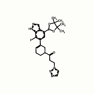 CC1(C)OB(c2cc(C3=CCCN(C(=O)CCn4ccnn4)C3)c(F)c3[nH]ncc23)OC1(C)C